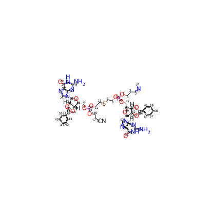 C/N=C\CCOP(OCCSCCOP(OCCC#N)OC[C@H]1O[C@@H](n2cnc3c(=O)[nH]c(N)nc32)[C@@H]2OB(c3ccccc3)O[C@@H]21)OC[C@H]1O[C@@H](n2cnc3c(=O)[nH]c(N)nc32)[C@@H]2OB(c3ccccc3)O[C@@H]21